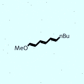 [CH2]OC=CC=CC=CCCCC